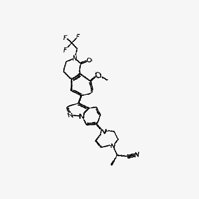 COc1cc(-c2cnn3cc(N4CCN([C@H](C)C#N)CC4)ccc23)cc2c1C(=O)N(CC(F)(F)F)CC2